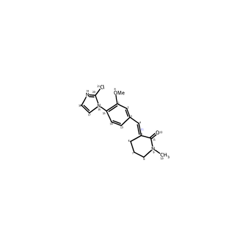 COc1cc(/C=C2\CCCN(C)C2=O)ccc1-n1ccnc1Cl